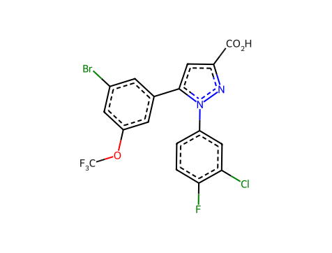 O=C(O)c1cc(-c2cc(Br)cc(OC(F)(F)F)c2)n(-c2ccc(F)c(Cl)c2)n1